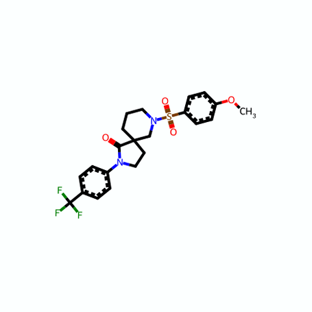 COc1ccc(S(=O)(=O)N2CCCC3(CCN(c4ccc(C(F)(F)F)cc4)C3=O)C2)cc1